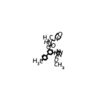 CCOCc1nnnn1-c1cc(OC(=O)NC(C)CN2CCOCC2)cc(-c2ccc(C)cc2)c1